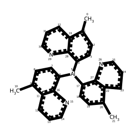 Cc1cc[c]([Al]([c]2ccc(C)c3cccnc23)[c]2ccc(C)c3cccnc23)c2ncccc12